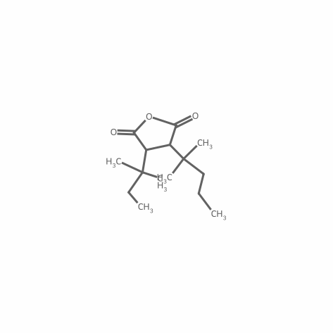 CCCC(C)(C)C1C(=O)OC(=O)C1C(C)(C)CC